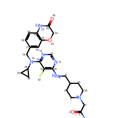 NC(=O)CN1CCC(CNc2ncnc(N(Cc3ccc4c(c3)OCC(=O)N4)C3CC3)c2F)CC1